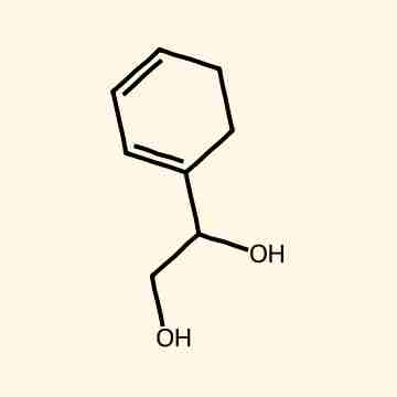 OCC(O)C1=CC=CCC1